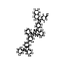 Fc1ccc2c(c1)c1c3ccccc3ccc1n2-c1ccc(-c2nc(-n3c4ccccc4c4cc(-c5ccc6c(c5)c5ccccc5n6-c5ccccc5)ccc43)nc3ccccc23)cc1